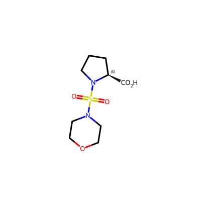 O=C(O)[C@@H]1CCCN1S(=O)(=O)N1CCOCC1